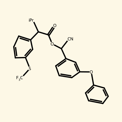 CC(C)C(C(=O)OC(C#N)c1cccc(Oc2ccccc2)c1)c1cccc(SC(F)(F)F)c1